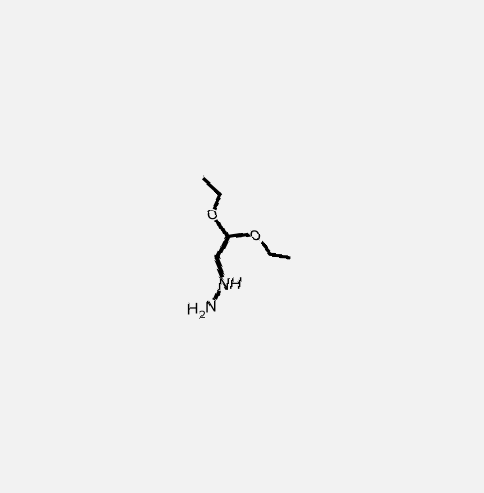 CCOC(CNN)OCC